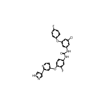 O=C(Nc1cc(Cl)cc(Oc2ccc(F)cc2)c1)Nc1ccc(Oc2ccnc(-c3cn[nH]c3)c2)c(F)c1